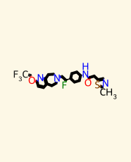 Cc1ncc(CC(=O)N[C@H]2CC[C@H](C(F)CN3CCc4ccc(OCC(F)(F)F)nc4CC3)CC2)s1